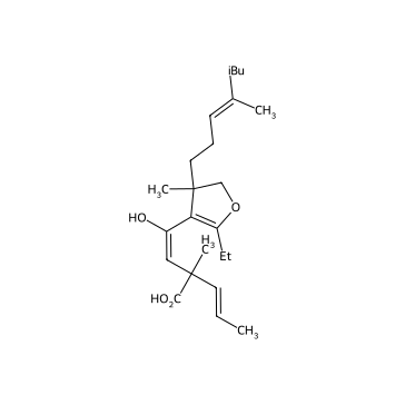 CC=CC(C)(/C=C(/O)C1=C(CC)OCC1(C)CC/C=C(\C)C(C)CC)C(=O)O